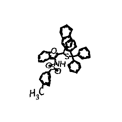 Cc1ccc(S(=O)(=O)Nc2c(C(SC(c3ccccc3)(c3ccccc3)c3ccccc3)c3ccc4ccccc4c3)oc3ccccc23)cc1